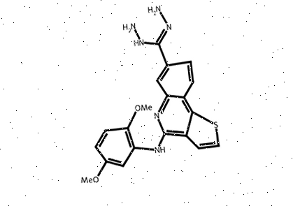 COc1ccc(OC)c(Nc2nc3cc(/C(=N/N)NN)ccc3c3sccc23)c1